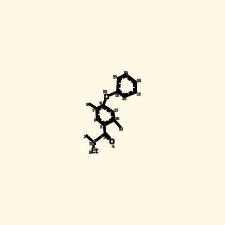 CCN(C)C(=O)c1cc(C)c(Oc2ccccc2)cc1C